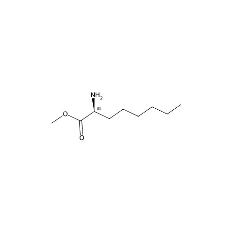 CCCCCC[C@H](N)C(=O)OC